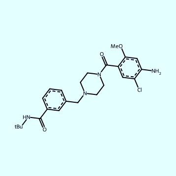 COc1cc(N)c(Cl)cc1C(=O)N1CCN(Cc2cccc(C(=O)NC(C)(C)C)c2)CC1